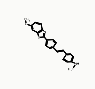 CNc1ccc(/C=C/c2ccc(-c3nc4ccc(OC)cc4s3)cc2)cc1